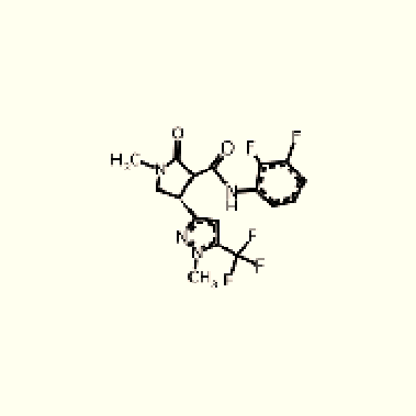 CN1C[C@H](c2cc(C(F)(F)F)n(C)n2)C(C(=O)Nc2cccc(F)c2F)C1=O